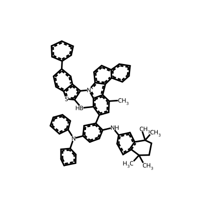 Cc1cc(-c2cc(N(c3ccccc3)c3ccccc3)ccc2Nc2ccc3c(c2)C(C)(C)CCC3(C)C)c2c3c1c1c4ccccc4ccc1n3-c1c(sc3ccc(-c4ccccc4)cc13)B2